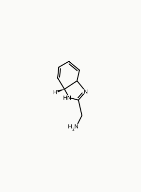 NCC1=NC2C=CC=C[C@H]2N1